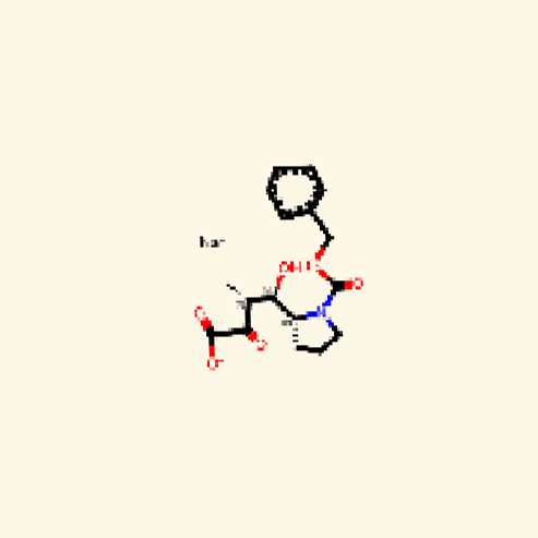 C[C@@H](C(=O)C(=O)[O-])[C@@H](O)[C@H]1CCCN1C(=O)OCc1ccccc1.[Na+]